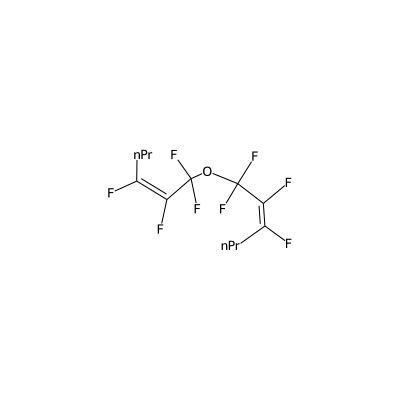 CCC/C(F)=C(/F)C(F)(F)OC(F)(F)/C(F)=C(/F)CCC